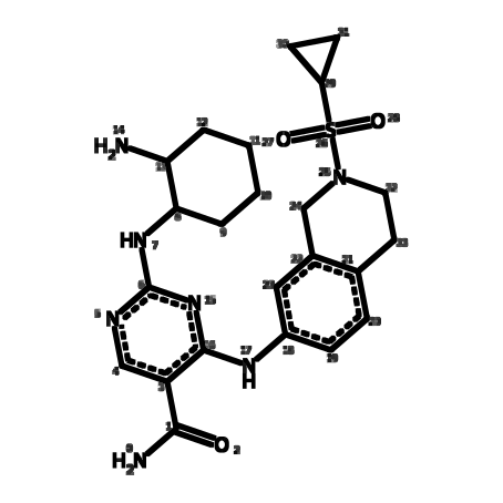 NC(=O)c1cnc(NC2CCCCC2N)nc1Nc1ccc2c(c1)CN(S(=O)(=O)C1CC1)CC2